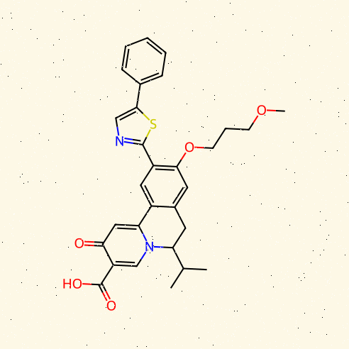 COCCCOc1cc2c(cc1-c1ncc(-c3ccccc3)s1)-c1cc(=O)c(C(=O)O)cn1C(C(C)C)C2